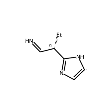 CC[C@@H](C=N)c1nc[c][nH]1